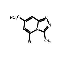 CCc1cc(C(=O)O)cc2nnc(C)n12